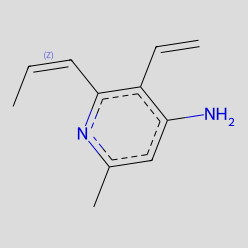 C=Cc1c(N)cc(C)nc1/C=C\C